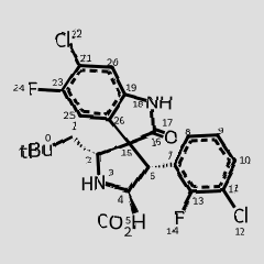 CC(C)(C)C[C@H]1N[C@H](C(=O)O)[C@@H](c2cccc(Cl)c2F)C12C(=O)Nc1cc(Cl)c(F)cc12